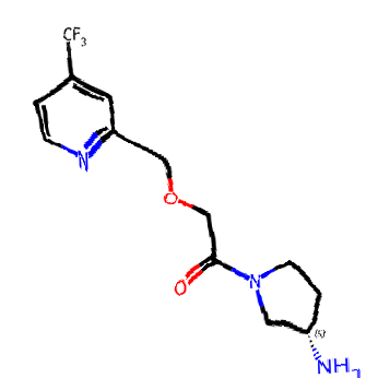 N[C@H]1CCN(C(=O)COCc2cc(C(F)(F)F)ccn2)C1